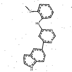 COc1ccccc1Nc1cc(-c2ccc3[nH]ccc3c2)ncn1